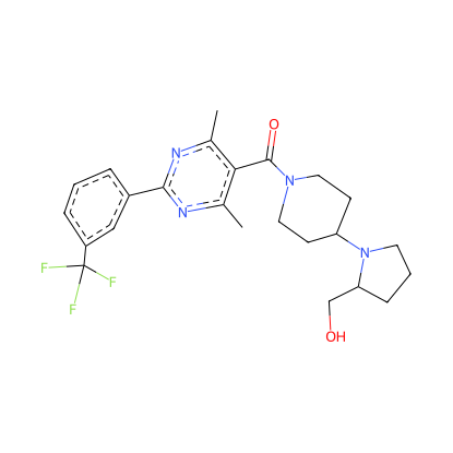 Cc1nc(-c2cccc(C(F)(F)F)c2)nc(C)c1C(=O)N1CCC(N2CCCC2CO)CC1